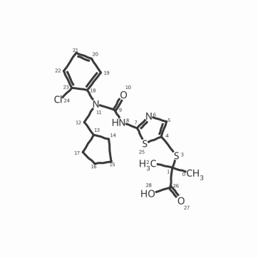 CC(C)(Sc1cnc(NC(=O)N(CC2CCCC2)c2ccccc2Cl)s1)C(=O)O